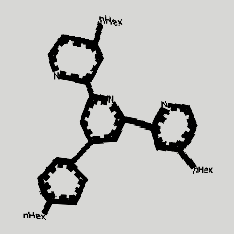 CCCCCCc1ccc(-c2cc(-c3cc(CCCCCC)ccn3)nc(-c3cc(CCCCCC)ccn3)c2)cc1